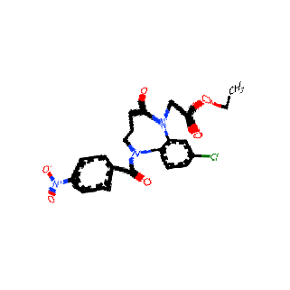 CCOC(=O)CN1C(=O)CCN(C(=O)c2ccc([N+](=O)[O-])cc2)c2ccc(Cl)cc21